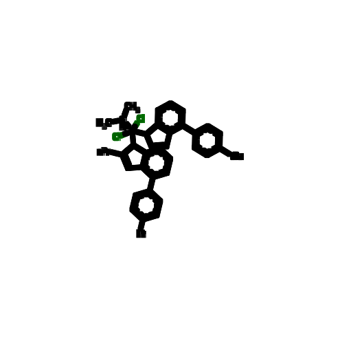 CCCC1=Cc2c(-c3ccc(CC)cc3)cccc2[CH]1[Zr]([Cl])([Cl])([CH]1C=Cc2c(-c3ccc(C(C)(C)C)cc3)cccc21)[SiH](C)C